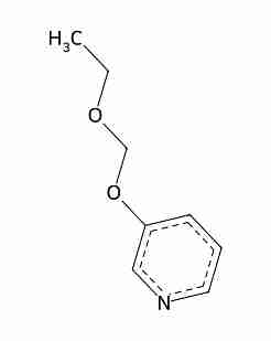 CCOCOc1cccnc1